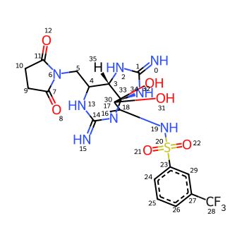 N=C1N[C@H]2C(CN3C(=O)CCC3=O)NC(=N)N3CC(NS(=O)(=O)c4cccc(C(F)(F)F)c4)C(O)(O)[C@]23N1